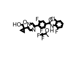 C[C@H](Oc1cc(-c2cnc(C3(C(=O)O)CC3)cn2)c(F)cc1C(=O)Nc1c(F)cccc1Cl)C(F)(F)F